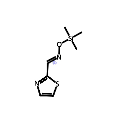 C[Si](C)(C)O/N=C/c1nccs1